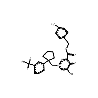 Cc1ccc(CNC(=O)c2nn(CC3(c4cccc(C(F)(F)F)c4)CCCC3)cc(O)c2=O)cc1